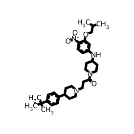 CC(C)COc1cc(NC2CCN(C(=O)CCN3CCC(c4ccc(C(C)(C)C)cc4)CC3)CC2)ccc1[N+](=O)[O-]